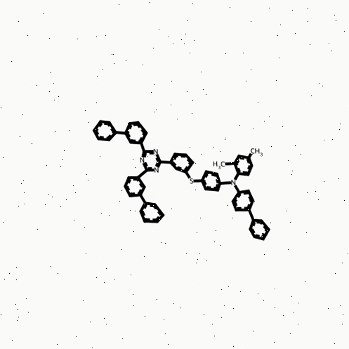 Cc1ccc(N(c2ccc(Sc3cccc(-c4nc(-c5cccc(-c6ccccc6)c5)nc(-c5cccc(-c6ccccc6)c5)n4)c3)cc2)c2ccc(-c3ccccc3)cc2)c(C)c1